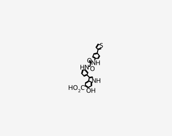 O=C(Nc1ccc(-c2ccsc2)cc1)C(=O)Nc1cccc(-c2c[nH]c3cc(O)c(C(=O)O)cc23)c1